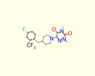 Cn1nc(N2CCC(Cc3ccc(F)cc3C(F)(F)F)CC2)c(=O)n(C)c1=O